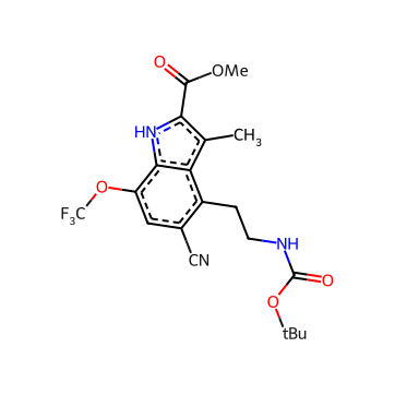 COC(=O)c1[nH]c2c(OC(F)(F)F)cc(C#N)c(CCNC(=O)OC(C)(C)C)c2c1C